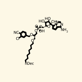 CCCCCCCCCCCCCCCCCCOC[C@H](COP(=O)(O)OC[C@H]1O[C@@](C)(c2ccc3c(N)ncnn23)[C@H](O)[C@@H]1O)OCc1ccc(C#N)c(Cl)c1